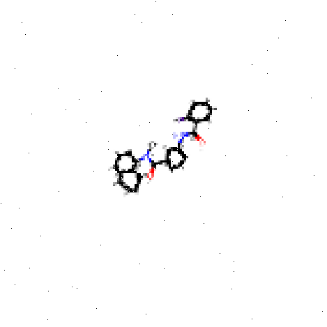 CCN(C(=O)c1cccc(NC(=O)c2ccccc2I)c1)c1cccc2ccccc12